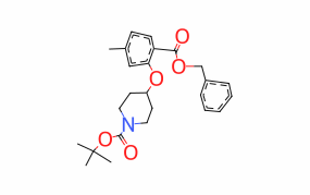 Cc1ccc(C(=O)OCc2ccccc2)c(OC2CCN(C(=O)OC(C)(C)C)CC2)c1